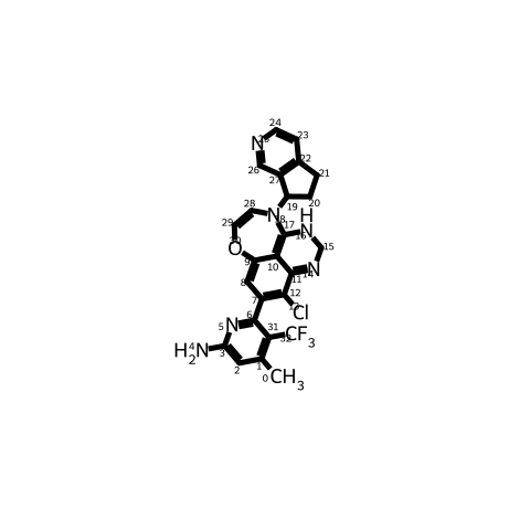 Cc1cc(N)nc(-c2cc3c4c(c2Cl)=NCNC=4N(C2CCc4ccncc42)C=CO3)c1C(F)(F)F